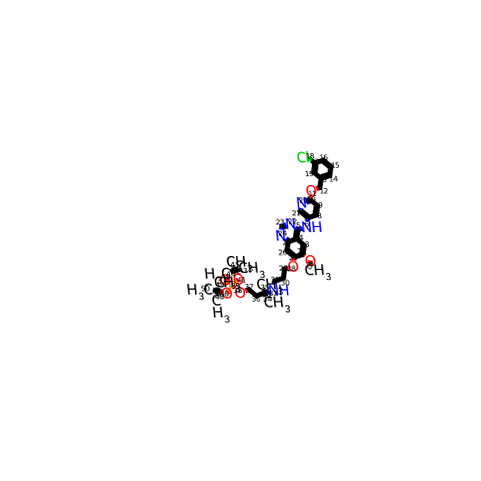 COc1cc2c(Nc3ccc(OCc4cccc(Cl)c4)nc3)ncnc2cc1OCCCNC(C)(C)CCOP(=O)(OC(C)(C)C)OC(C)(C)C